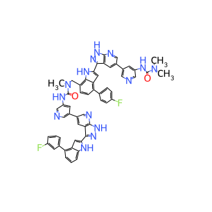 CN(C)C(=O)Nc1cncc(-c2cnc3[nH]nc(-c4cc5c(-c6ccc(F)cc6)ccc(CN(C)C(=O)Nc6cncc(-c7cnc8[nH]nc(-c9cc%10c(-c%11cccc(F)c%11)cccc%10[nH]9)c8c7)c6)c5[nH]4)c3c2)c1